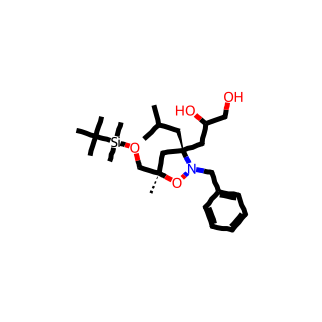 CC(C)C[C@]1(CC(O)CO)C[C@](C)(CO[Si](C)(C)C(C)(C)C)ON1Cc1ccccc1